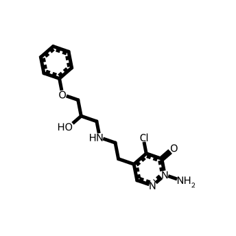 Nn1ncc(CCNCC(O)COc2ccccc2)c(Cl)c1=O